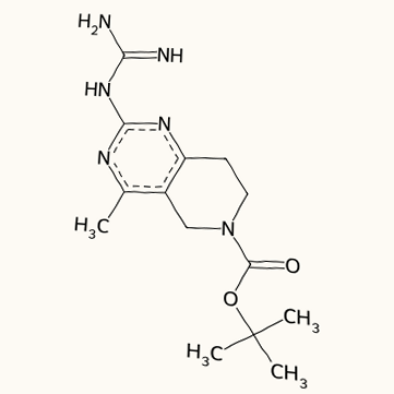 Cc1nc(NC(=N)N)nc2c1CN(C(=O)OC(C)(C)C)CC2